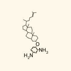 CC(C)=CCCC(C)C1CCC2C3CCC4CC(Oc5ccc(N)cc5N)CCC4(C)C3CCC12C